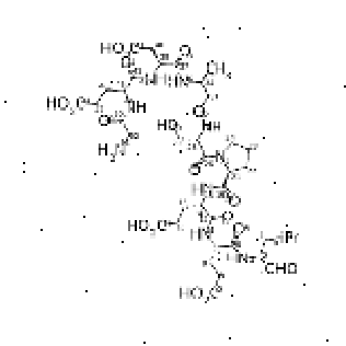 CC(C)C[C@@H](C=O)NC(=O)[C@H](CCC(=O)O)NC(=O)[C@H](CCC(=O)O)NC(=O)[C@@H]1CCCN1C(=O)[C@H](CO)NOC[C@H](C)NC(=O)[C@H](CC(=O)O)NC(=O)[C@H](CCC(=O)O)NC(=O)CN